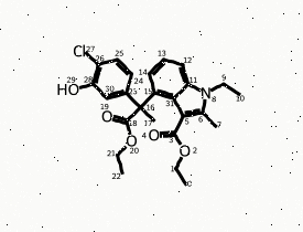 CCOC(=O)c1c(C)n(CC)c2cccc(C(C)(C(=O)OCC)c3ccc(Cl)c(O)c3)c12